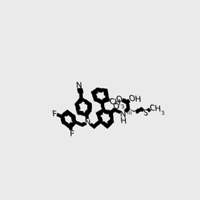 CSCC[C@H](NC(=O)c1ccc(CN(Cc2ccc(F)cc2F)c2ccc(C#N)cc2)cc1-c1ccccc1C)C(=O)O